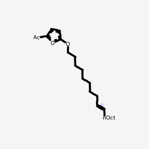 CCCCCCCC/C=C/CCCCCCCCOc1ccc(C(C)=O)o1